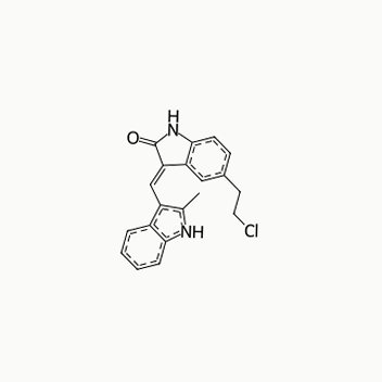 Cc1[nH]c2ccccc2c1C=C1C(=O)Nc2ccc(CCCl)cc21